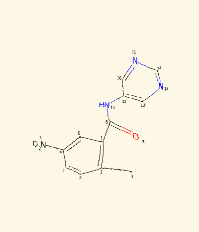 Cc1ccc([N+](=O)[O-])cc1C(=O)Nc1cncnc1